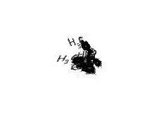 Cc1ccc(C(=O)Nc2nc(-c3ccccc3)c(-c3nc4ccccc4c(=O)n3-c3ccc(C)cc3)s2)cc1